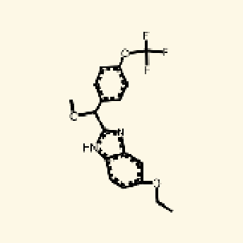 CCOc1ccc2[nH]c(C(OC)c3ccc(OC(F)(F)F)cc3)nc2c1